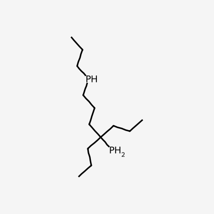 CCCPCCCC(P)(CCC)CCC